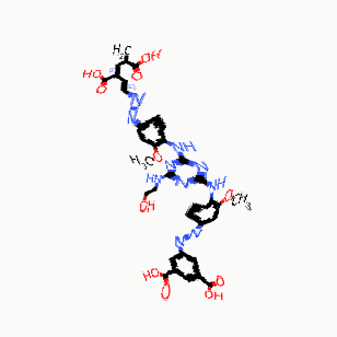 C=C(/C=C(\C=C\N=Nc1ccc(Nc2nc(NCCO)nc(Nc3ccc(N=Nc4cc(C(=O)O)cc(C(=O)O)c4)cc3OC)n2)c(OC)c1)C(=O)O)C(=O)O